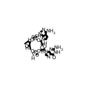 Nc1nc2c(ncn2[C@@H]2O[C@H]3C[C@H]2OP(=O)(S)OC[C@H]2OCC[C@@H]2OP(=O)(S)O[C@H]3n2ccc3c(N)ncnc32)c(=O)[nH]1